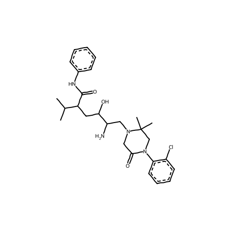 CC(C)C(CC(O)C(N)CN1CC(=O)N(c2ccccc2Cl)CC1(C)C)C(=O)Nc1ccccc1